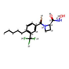 CCCCCc1ccc(C(=S)N2CC[C@@H]2C(=O)NO)cc1C(F)(F)F